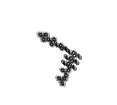 O=C=Nc1cccc2c(N=C=O)cccc12.O=C=Nc1cccc2c(N=C=O)cccc12.O=C=Nc1cccc2c(N=C=O)cccc12.O=C=Nc1cccc2c(N=C=O)cccc12.c1ccc(C(c2ccccc2)c2ccccc2)cc1.c1ccc(C(c2ccccc2)c2ccccc2)cc1.c1ccc(C(c2ccccc2)c2ccccc2)cc1.c1ccc(C(c2ccccc2)c2ccccc2)cc1